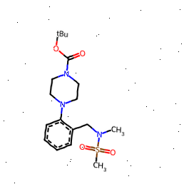 CN(Cc1ccccc1N1CCN(C(=O)OC(C)(C)C)CC1)S(C)(=O)=O